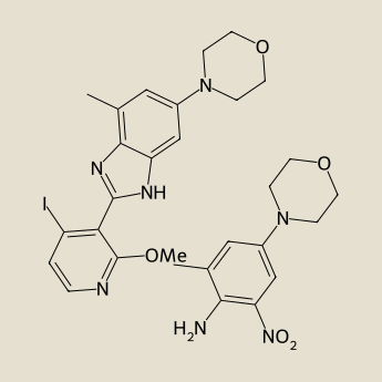 COc1nccc(I)c1-c1nc2c(C)cc(N3CCOCC3)cc2[nH]1.Cc1cc(N2CCOCC2)cc([N+](=O)[O-])c1N